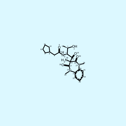 C[C@@H](O)[C@H](NC(=O)CC1CCCC1)C(=O)C1(N)C(=O)N(C)c2ccccc2N(C)C1=O